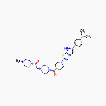 CC(C)c1ccc(C2=CN3N=C(N4CCC(C(=O)N5CCN(CC(=O)N6CCN(C)CC6)CC5)CC4)SC3N2)cc1